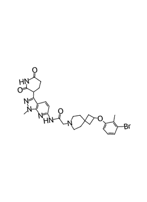 Cc1c(Br)cccc1OC1CC2(CCN(CC(=O)Nc3ccc4c(C5CCC(=O)NC5=O)nn(C)c4n3)CC2)C1